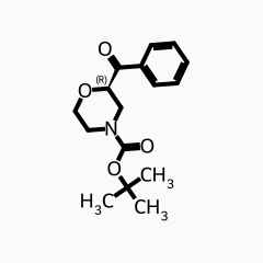 CC(C)(C)OC(=O)N1CCO[C@@H](C(=O)c2ccccc2)C1